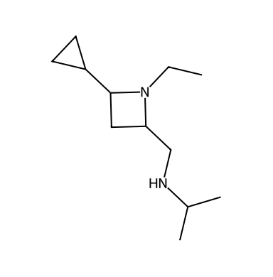 CCN1C(CNC(C)C)CC1C1CC1